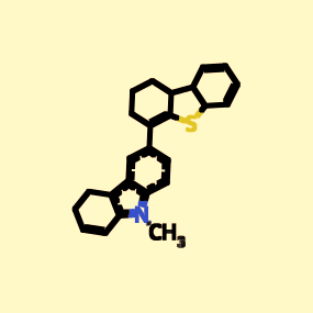 Cn1c2c(c3cc(C4=C5SC6C=CC=CC6C5CCC4)ccc31)CCC=C2